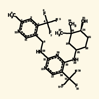 Cc1cc(C(F)(F)F)c(CNc2ncc(C(F)(F)F)c(NC3CC[C@H](O)C(C)(C)C3)n2)cn1